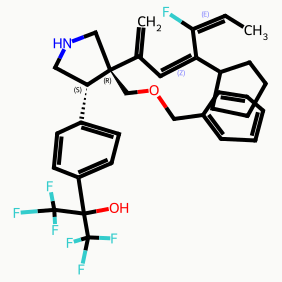 C=C(/C=C(\C(F)=C/C)C1CCCC1)[C@@]1(COCc2ccccc2)CNC[C@H]1c1ccc(C(O)(C(F)(F)F)C(F)(F)F)cc1